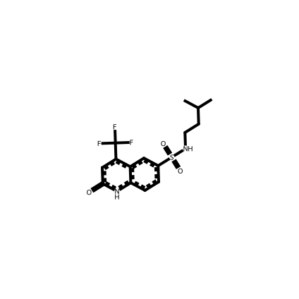 CC(C)CCNS(=O)(=O)c1ccc2[nH]c(=O)cc(C(F)(F)F)c2c1